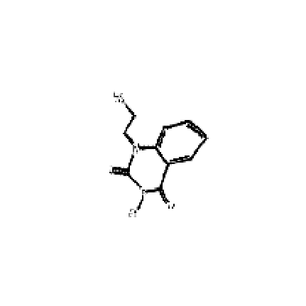 CCn1c(=O)c2ccccc2n(CCS)c1=O